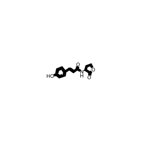 O=C(/C=C/c1ccc(O)cc1)N[C@@H]1CCOC1=O